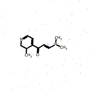 CC1CN=CC=C1C(=O)/C=C/N(C)C